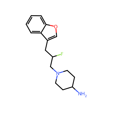 NC1CCN(CC(F)Cc2coc3ccccc23)CC1